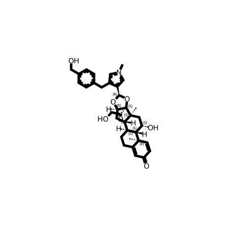 Cn1cc(Cc2ccc(CO)cc2)c([C@@H]2O[C@@H]3C[C@H]4[C@@H]5CCC6=CC(=O)C=C[C@]6(C)[C@H]5[C@@H](O)C[C@]4(C)[C@]3(C(=O)CO)O2)c1